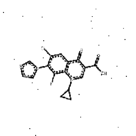 O=C(O)c1cn(C2CC2)c2c(F)c(-n3ccnc3)c(Cl)cc2c1=O